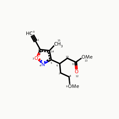 C#Cc1onc(C(CCOC)CC(=O)OC)c1C